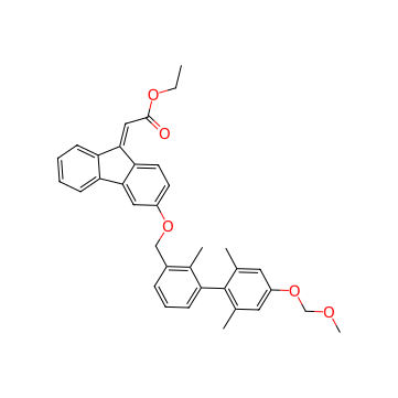 CCOC(=O)C=C1c2ccccc2-c2cc(OCc3cccc(-c4c(C)cc(OCOC)cc4C)c3C)ccc21